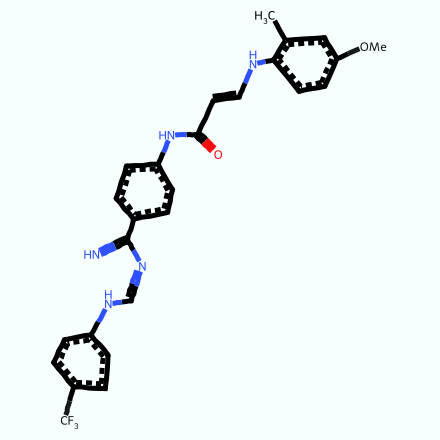 COc1ccc(N/C=C/C(=O)Nc2ccc(C(=N)/N=C\Nc3ccc(C(F)(F)F)cc3)cc2)c(C)c1